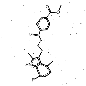 COC(=O)c1ccc(C(=O)NCCc2c(C)[nH]c3c(F)ccc(C)c23)cc1